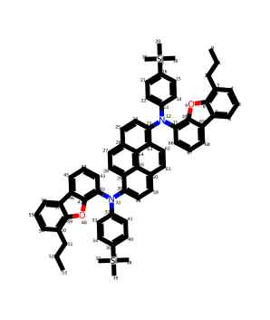 CCCc1cccc2c1oc1c(N(c3ccc([Si](C)(C)C)cc3)c3ccc4ccc5c(N(c6ccc([Si](C)(C)C)cc6)c6cccc7c6oc6c(CCC)cccc67)ccc6ccc3c4c65)cccc12